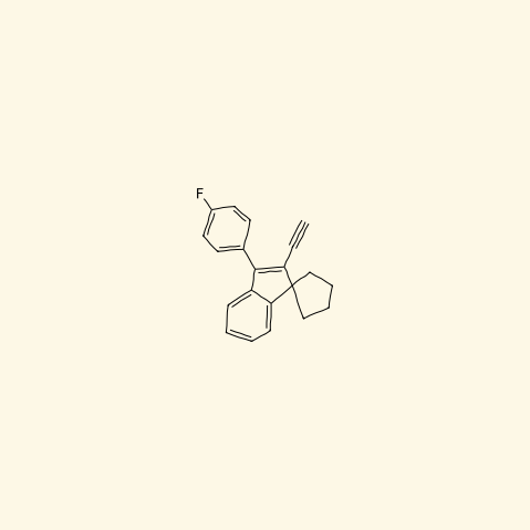 C#CC1=C(c2ccc(F)cc2)c2ccccc2C12CCCC2